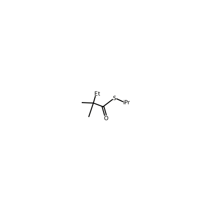 CCC(C)(C)C(=O)SC(C)C